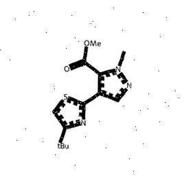 COC(=O)c1c(-c2nc(C(C)(C)C)cs2)cnn1C